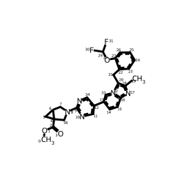 COC(=O)C12CC1CN(c1ncc(-c3ccc4nc(C)c(Cc5ccccc5OC(F)F)n4c3)cn1)C2